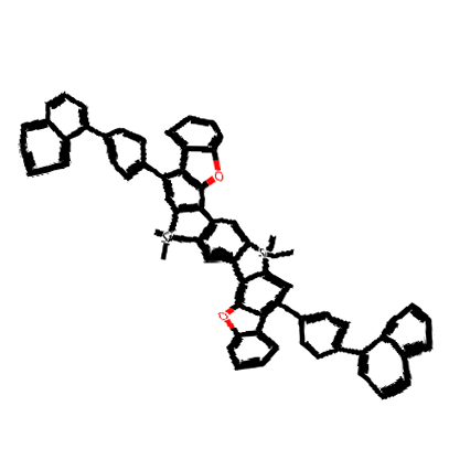 C[Si]1(C)c2cc3c(cc2-c2c1cc(-c1ccc(-c4cccc5ccccc45)cc1)c1c2oc2ccccc21)[Si](C)(C)c1cc(-c2ccc(-c4cccc5ccccc45)cc2)c2c(oc4ccccc42)c1-3